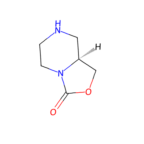 O=C1OC[C@@H]2CNCCN12